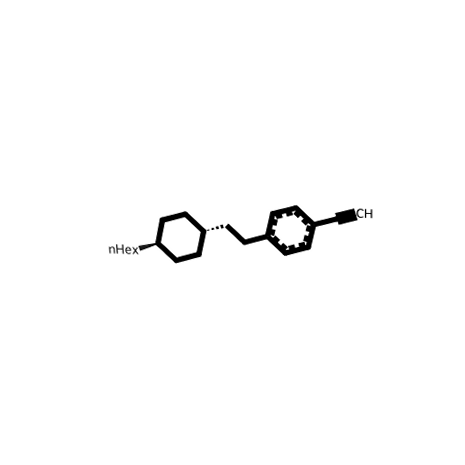 C#Cc1ccc(CC[C@H]2CC[C@H](CCCCCC)CC2)cc1